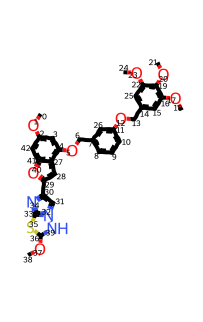 COc1cc(OCc2cccc(OCc3cc(OC)c(OC)c(OC)c3)c2)c2cc(-c3cn4c(n3)SC(OC)N4)oc2c1